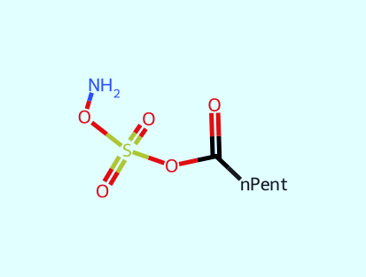 CCCCCC(=O)OS(=O)(=O)ON